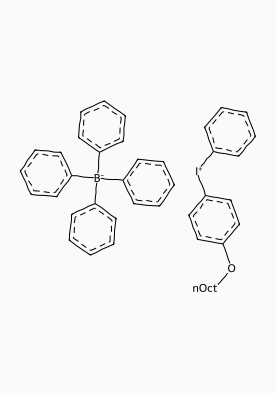 CCCCCCCCOc1ccc([I+]c2ccccc2)cc1.c1ccc([B-](c2ccccc2)(c2ccccc2)c2ccccc2)cc1